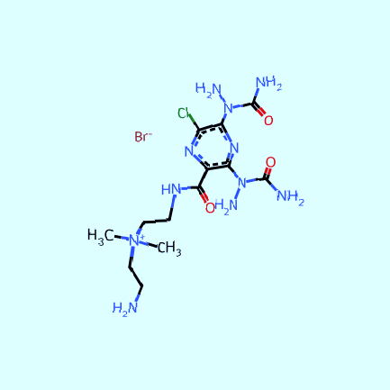 C[N+](C)(CCN)CCNC(=O)c1nc(Cl)c(N(N)C(N)=O)nc1N(N)C(N)=O.[Br-]